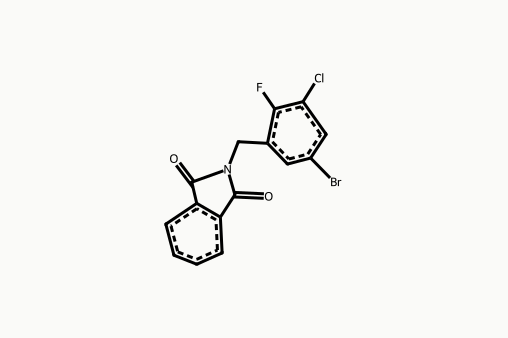 O=C1c2ccccc2C(=O)N1Cc1cc(Br)cc(Cl)c1F